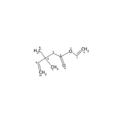 C=COC(=O)CC(C)(C)C=C